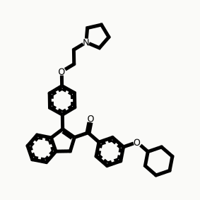 O=C(C1=C(c2ccc(OCCN3CCCC3)cc2)c2ccccc2C1)c1cccc(OC2CCCCC2)c1